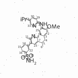 COc1cc(CC(C)c2cnc(C)c(-c3cccc(S(N)(=O)=O)c3)c2)ccc1Nc1ccc(C(C)C)cn1